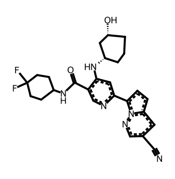 N#Cc1cnn2c(-c3cc(N[C@H]4CCC[C@@H](O)C4)c(C(=O)NC4CCC(F)(F)CC4)cn3)ccc2c1